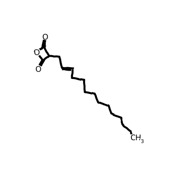 CCCCCCCCCCC/C=C/CC1C(=O)OC1=O